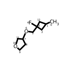 CC1CC(F)(COC2CCOC2)C1